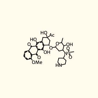 COc1cccc2c1C(=O)c1c(O)c3c(c(O)c1C2=O)C[C@@](O)(C(C)=O)C[C@@H]3OC1CC(N(C2CCNCC2)S(C)(=O)=O)C(O)C(C)O1